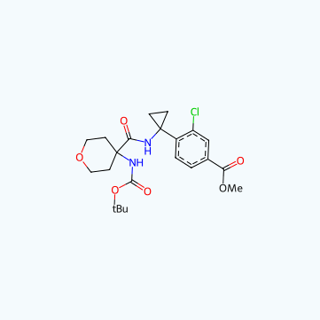 COC(=O)c1ccc(C2(NC(=O)C3(NC(=O)OC(C)(C)C)CCOCC3)CC2)c(Cl)c1